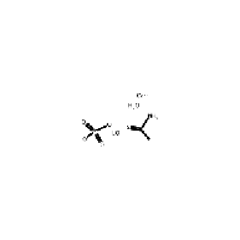 CC(N)=S.O.O.O=S(=O)([O-])[O-].[Ca+2]